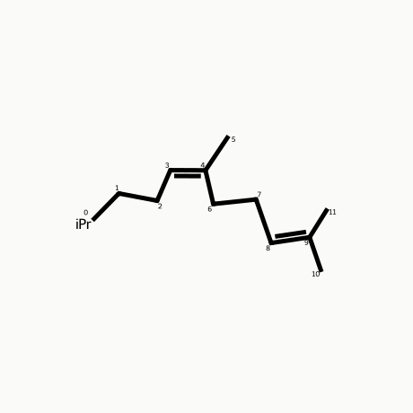 [CH2]C(C)CCC=C(C)CCC=C(C)C